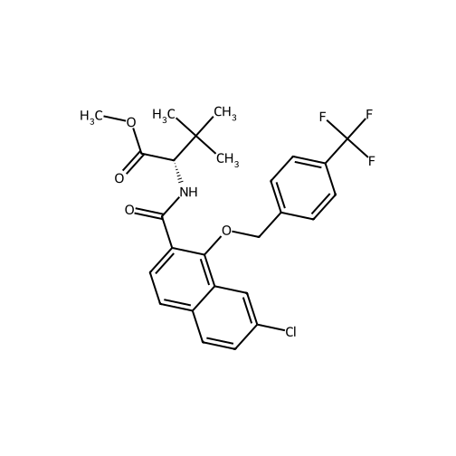 COC(=O)[C@@H](NC(=O)c1ccc2ccc(Cl)cc2c1OCc1ccc(C(F)(F)F)cc1)C(C)(C)C